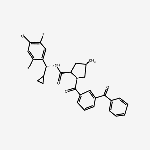 C[C@@H]1C[C@H](C(=O)N[C@@H](c2cc(F)c(Cl)cc2F)C2CC2)N(C(=O)c2cccc(C(=O)c3ccccc3)c2)C1